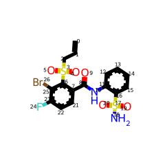 C=CCS(=O)(=O)c1c(C(=O)Nc2ccccc2S(N)(=O)=O)ccc(F)c1Br